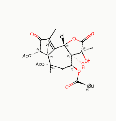 CC[C@H](C)C(=O)O[C@H]1C[C@](C)(OC(C)=O)[C@@H]2C(=C(C)C(=O)[C@H]2OC(C)=O)[C@@H]2OC(=O)[C@@](C)(O)[C@@]12O